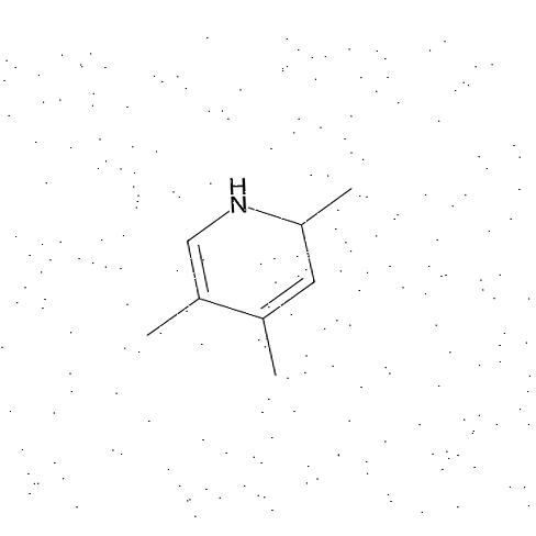 CC1=CNC(C)C=C1C